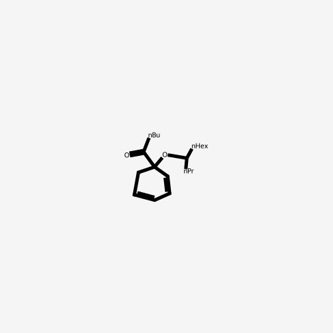 CCCCCCC(CCC)OC1(C(=O)CCCC)C=CC=CC1